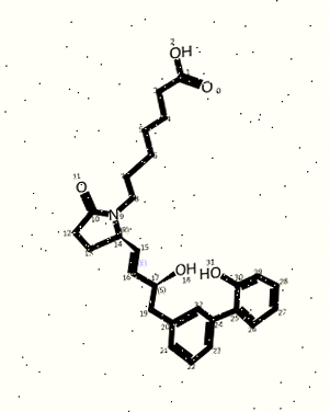 O=C(O)CCCCCCN1C(=O)CC[C@@H]1/C=C/[C@@H](O)Cc1cccc(-c2ccccc2O)c1